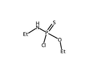 CCNP(=S)(Cl)OCC